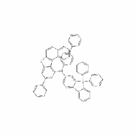 c1ccc(-c2ccc(N(c3ccc4c(c3)C(c3ccccc3)(c3ccccc3)c3ccccc3-4)c3cc(-c4ccccc4)cc4oc5ccc6ccccc6c5c34)cc2)cc1